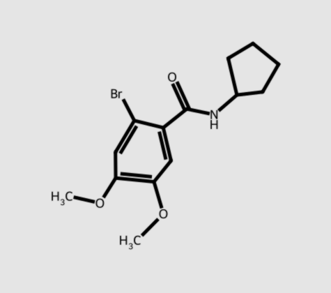 COc1cc(Br)c(C(=O)NC2CCCC2)cc1OC